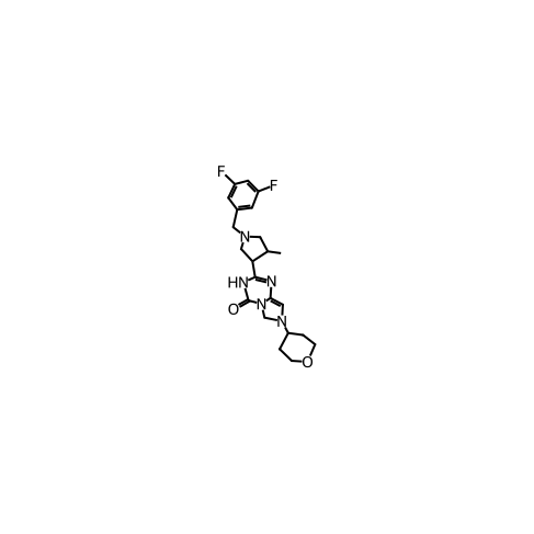 CC1CN(Cc2cc(F)cc(F)c2)CC1C1=NC2=CN(C3CCOCC3)CN2C(=O)N1